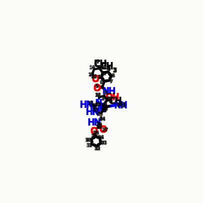 CC1[C@@H](NC(=O)c2cccc3c2OCCC3(C)C)CN2C(=N)N[C@@H](CNC(=O)Oc3ccccc3)C3NC(=N)N(O)C132